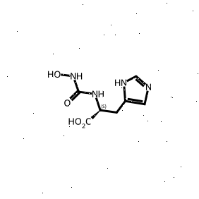 O=C(NO)N[C@@H](Cc1cnc[nH]1)C(=O)O